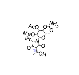 COC1C(OC(C)=O)C(OC(N)=O)C(C)OC1N1C(=O)/C(=C(/C)O)C(=O)C1C(C)C